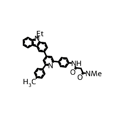 CCn1c2ccccc2c2cc(-c3cc(-c4ccc(C)cc4)nc(-c4ccc(NC(=O)CC(=O)NC)cc4)c3)ccc21